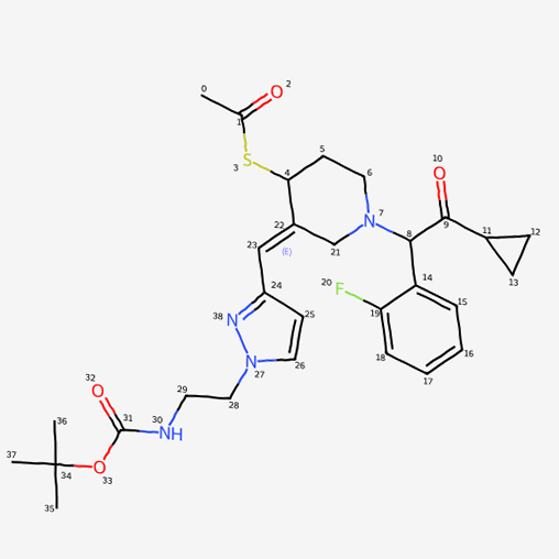 CC(=O)SC1CCN(C(C(=O)C2CC2)c2ccccc2F)C/C1=C\c1ccn(CCNC(=O)OC(C)(C)C)n1